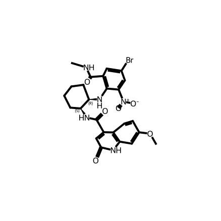 CNC(=O)c1cc(Br)cc([N+](=O)[O-])c1N[C@@H]1CCCC[C@@H]1NC(=O)c1cc(=O)[nH]c2cc(OC)ccc12